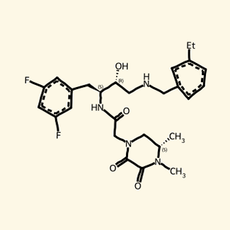 CCc1cccc(CNC[C@@H](O)[C@H](Cc2cc(F)cc(F)c2)NC(=O)CN2C[C@H](C)N(C)C(=O)C2=O)c1